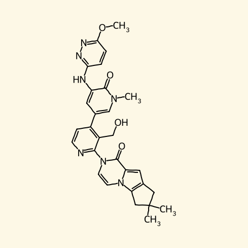 COc1ccc(Nc2cc(-c3ccnc(-n4ccn5c6c(cc5c4=O)CC(C)(C)C6)c3CO)cn(C)c2=O)nn1